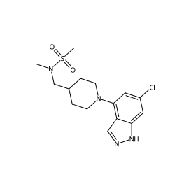 CN(CC1CCN(c2cc(Cl)cc3[nH]ncc23)CC1)S(C)(=O)=O